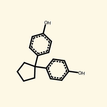 Oc1ccc(C2(c3ccc(O)cc3)CCCC2)cc1